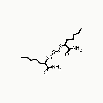 CCCCCC(SSSSSC(CCCCC)C(N)=O)C(N)=O